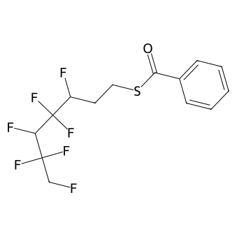 O=C(SCCC(F)C(F)(F)C(F)C(F)(F)CF)c1ccccc1